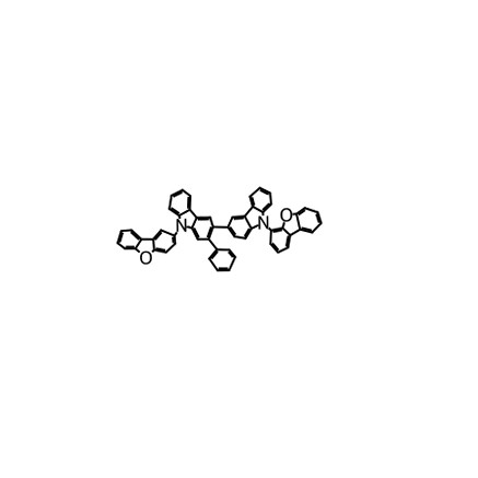 c1ccc(-c2cc3c(cc2-c2ccc4c(c2)c2ccccc2n4-c2cccc4c2oc2ccccc24)c2ccccc2n3-c2ccc3oc4ccccc4c3c2)cc1